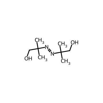 CC(C)(CO)/N=N/C(C)(C)CO